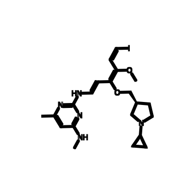 CNc1cc(C)nc(N/C=C/C(OC[C@H]2CCN(C3CC3)C2)=C(\C=C/I)OC)n1